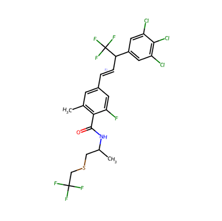 Cc1cc(/C=C/C(c2cc(Cl)c(Cl)c(Cl)c2)C(F)(F)F)cc(F)c1C(=O)NC(C)CSCC(F)(F)F